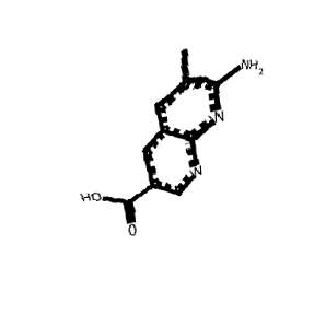 Cc1cc2cc(C(=O)O)cnc2nc1N